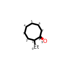 [CH2]CC1CCCCCCC1=O